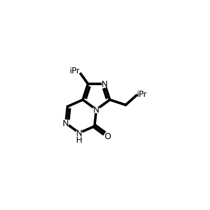 CC(C)Cc1nc(C(C)C)c2cn[nH]c(=O)n12